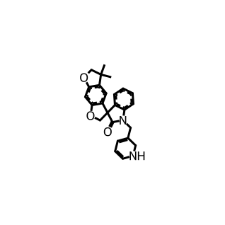 CC1(C)COc2cc3c(cc21)C1(CO3)C(=O)N(CC2=CC=CNC2)c2ccccc21